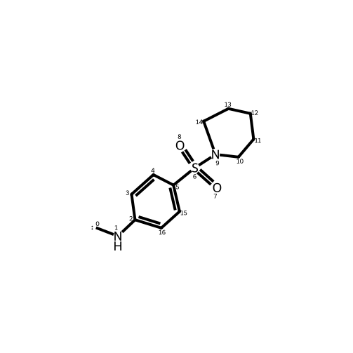 [CH]Nc1ccc(S(=O)(=O)N2CCCCC2)cc1